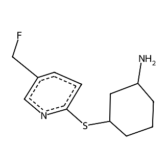 NC1CCCC(Sc2ccc(CF)cn2)C1